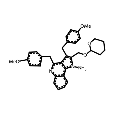 COc1ccc(Cc2nc3ccccc3c3c2c(Cc2ccc(OC)cc2)c(COC2CCCCO2)n3N)cc1